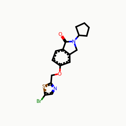 O=C1c2ccc(OCc3ncc(Br)s3)cc2CN1C1CCCC1